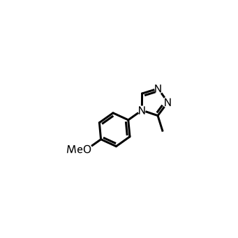 COc1ccc(-n2cnnc2C)cc1